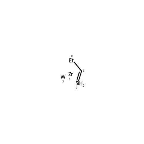 CCC=[SiH2].[W].[Zr]